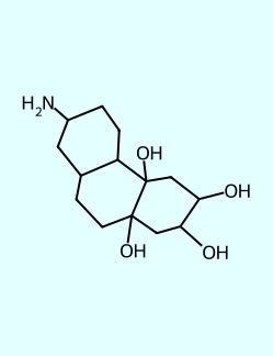 NC1CCC2C(CCC3(O)CC(O)C(O)CC23O)C1